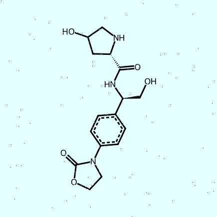 O=C(N[C@@H](CO)c1ccc(N2CCOC2=O)cc1)[C@@H]1CC(O)CN1